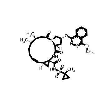 COc1nnc(O[C@@H]2C[C@H]3C(=O)N[C@]4(C(=O)NS(=O)(=O)C5(C)CC5)C[C@H]4/C=C\CC[C@H](C)[C@@H](C)CC(=O)N3C2)c2ccccc12